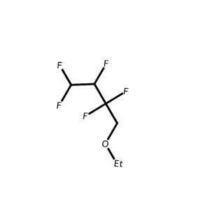 CCOCC(F)(F)C(F)C(F)F